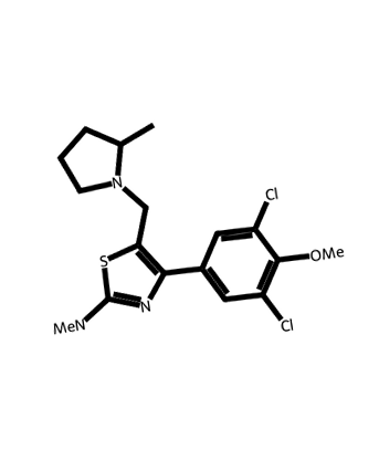 CNc1nc(-c2cc(Cl)c(OC)c(Cl)c2)c(CN2CCCC2C)s1